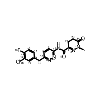 CN1N=C(C(=O)Nc2ccc(Cc3ccc(F)c(Cl)c3)nn2)CCC1=O